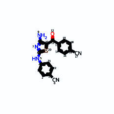 N#Cc1ccc(Nc2nc(N)c(C(=O)c3ccc(C#N)cc3)s2)cc1